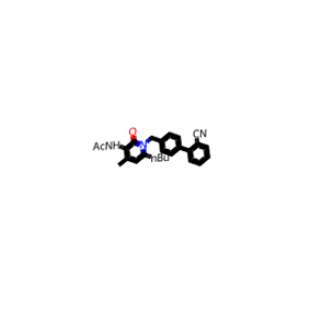 CCCCc1cc(C)c(NC(C)=O)c(=O)n1Cc1ccc(-c2ccccc2C#N)cc1